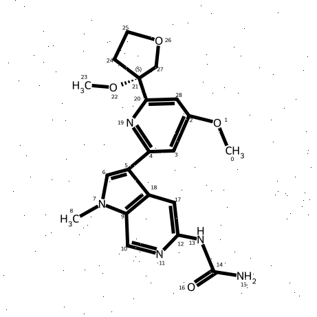 COc1cc(-c2cn(C)c3cnc(NC(N)=O)cc23)nc([C@@]2(OC)CCOC2)c1